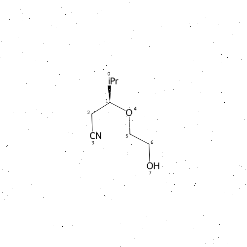 CC(C)[C@H](CC#N)OCCO